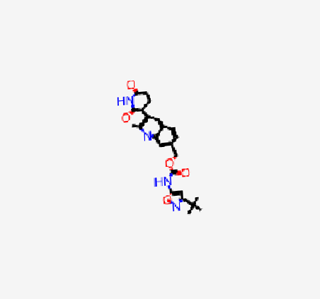 Cc1nc2cc(COC(=O)Nc3cc(C(C)(C)C)no3)ccc2cc1C1CCC(=O)NC1=O